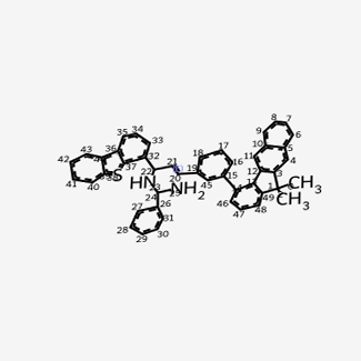 CC1(C)c2cc3ccccc3cc2-c2c(-c3cccc(/C=C/C(NC(N)c4ccccc4)c4cccc5c4sc4ccccc45)c3)cccc21